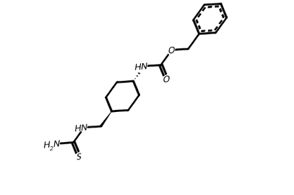 NC(=S)NC[C@H]1CC[C@H](NC(=O)OCc2ccccc2)CC1